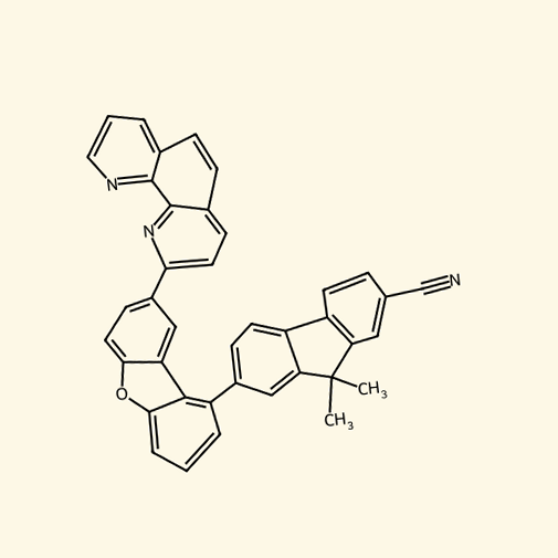 CC1(C)c2cc(C#N)ccc2-c2ccc(-c3cccc4oc5ccc(-c6ccc7ccc8cccnc8c7n6)cc5c34)cc21